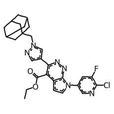 CCOC(=O)c1c(-c2cnn(CC34CC5CC(CC(C5)C3)C4)c2)nnc2c1ccn2-c1cnc(Cl)c(F)c1